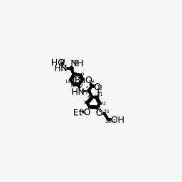 CCOc1cc([C@@H](Nc2ccc(C(=N)NO)cc2)C(=O)OCC(C)C)c(F)cc1OCCO